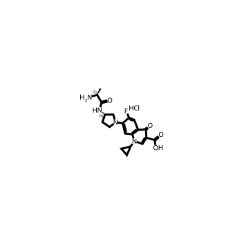 C[C@H](N)C(=O)N[C@H]1CCN(c2cc3c(cc2F)c(=O)c(C(=O)O)cn3C2CC2)C1.Cl